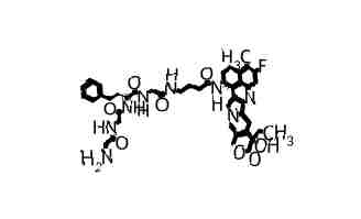 CC[C@@]1(O)C(=O)OCC2=C1C=C1c3nc4cc(F)c(C)c5c4c(c3CN1C2)[C@@H](NC(=O)CCCNC(=O)CNC(=O)[C@H](CCc1ccccc1)NC(=O)CNC(=O)CN)CC5